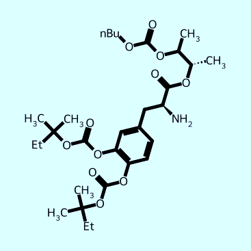 CCCCOC(=O)OC(C)[C@H](C)OC(=O)[C@@H](N)Cc1ccc(OC(=O)OC(C)(C)CC)c(OC(=O)OC(C)(C)CC)c1